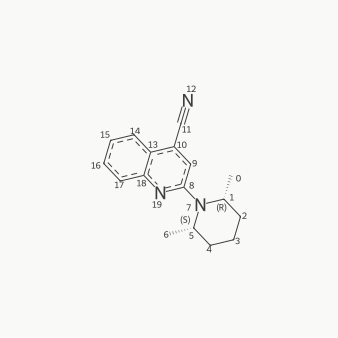 C[C@@H]1CCC[C@H](C)N1c1cc(C#N)c2ccccc2n1